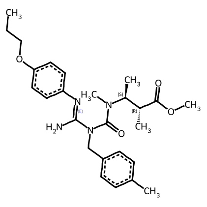 CCCOc1ccc(/N=C(\N)N(Cc2ccc(C)cc2)C(=O)N(C)[C@@H](C)[C@@H](C)C(=O)OC)cc1